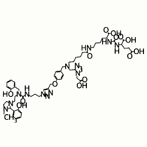 CCN1CCN(CCN(Cc2ccccc2O)C(=O)NCCCn2cc(COc3ccc(CN(CCCCCC(=O)NCCCCC(NC(=O)NC(CCC(=O)O)C(=O)O)C(=O)O)Cc4nccn4CC(=O)O)cc3)nn2)C1c1ccccc1O